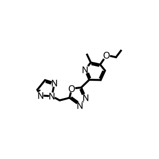 CCOc1ccc(-c2nnc(Cn3nccn3)o2)nc1C